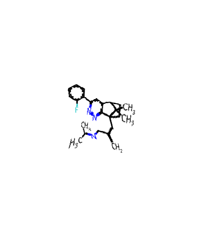 C=C(CN=C(C)C)CC12CCC(c3cc(-c4ccccc4F)nnc31)C2(C)C